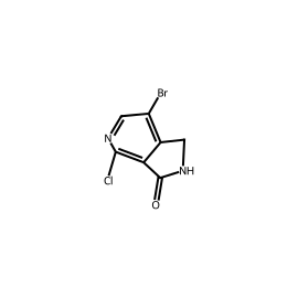 O=C1NCc2c(Br)cnc(Cl)c21